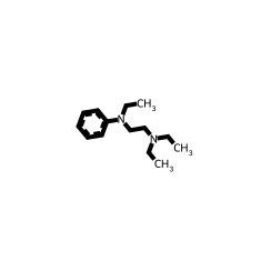 CCN(CC)CCN(CC)c1ccccc1